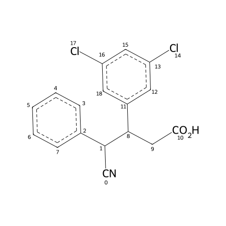 N#CC(c1ccccc1)C(CC(=O)O)c1cc(Cl)cc(Cl)c1